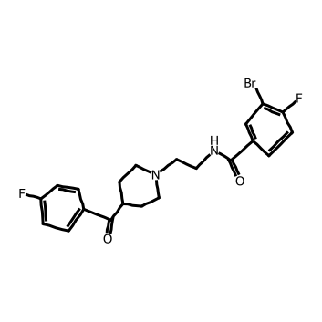 O=C(NCCN1CCC(C(=O)c2ccc(F)cc2)CC1)c1ccc(F)c(Br)c1